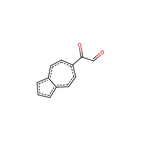 O=CC(=O)c1ccc2cccc-2cc1